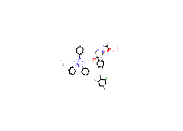 Cc1cc(Cl)c(CSc2ccc3c(c2)OCC32CCN(CC(C)C(=O)O)CC2)c(Cl)c1.Cl.[Cl-].c1ccc(-c2nn(-c3ccccc3)[n+](-c3ccccc3)n2)cc1